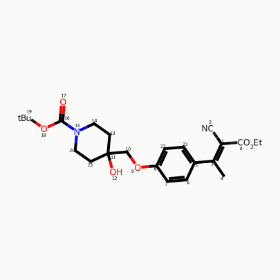 CCOC(=O)C(C#N)=C(C)c1ccc(OCC2(O)CCN(C(=O)OC(C)(C)C)CC2)cc1